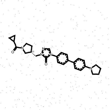 O=C(C1CC1)N1CC[C@H](Cn2ncn(-c3ccc(-c4ccc(N5CCCC5)cc4)cc3)c2=O)C1